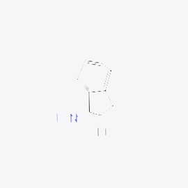 CC[C@H]1Cc2ccccc2[C@H]1N